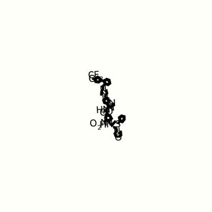 O=[N+]([O-])c1cc(S(=O)(=O)Nc2ncnc3cc(N4CCN(Cc5ccccc5-c5ccc(OC(F)(F)F)cc5)CC4)ccc23)ccc1N[C@H](CCN1CCOCC1)CSc1ccccc1